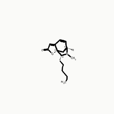 CCCCC[C@H]1N(C)[C@@H]2C=CC3=CC(=O)O[C@@]31C2